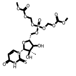 COC(=O)OCOP(=O)(OCOC(=O)OC)OC[C@H]1O[C@@H](n2ccc(=O)[nH]c2=S)[C@](C)(O)C1O